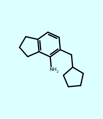 Nc1c(CC2CCCC2)ccc2c1CCC2